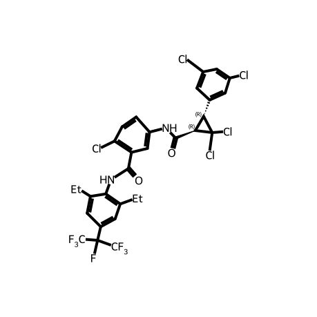 CCc1cc(C(F)(C(F)(F)F)C(F)(F)F)cc(CC)c1NC(=O)c1cc(NC(=O)[C@H]2[C@H](c3cc(Cl)cc(Cl)c3)C2(Cl)Cl)ccc1Cl